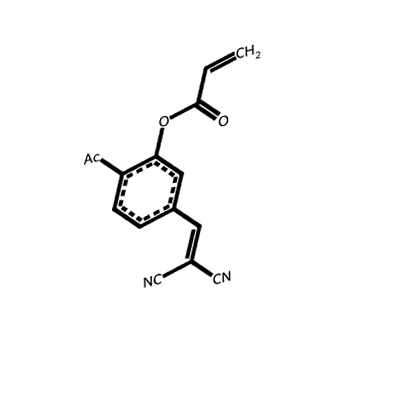 C=CC(=O)Oc1cc(C=C(C#N)C#N)ccc1C(C)=O